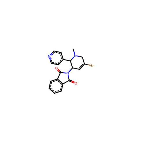 CN1CC(Br)=CC(N2C(=O)c3ccccc3C2=O)C1c1ccncc1